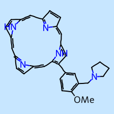 COc1ccc(-c2cc3cc4nc(cc5ccc(cc6nc(cc2[nH]3)C=C6)[nH]5)C=C4)cc1CN1CCCC1